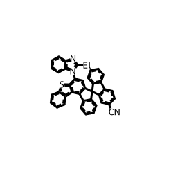 CCc1nc2ccccc2n1-c1cc2c(c3c1sc1ccccc13)-c1ccccc1C21c2ccccc2-c2ccc(C#N)cc21